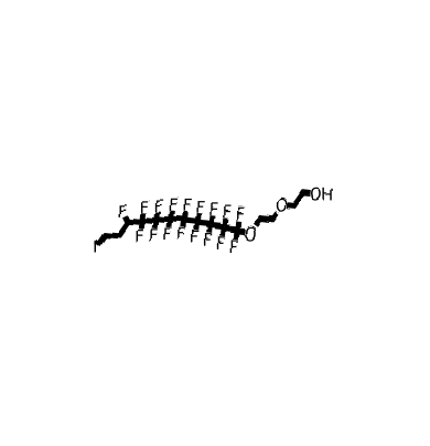 OCCOCCOC(F)(F)C(F)(F)C(F)(F)C(F)(F)C(F)(F)C(F)(F)C(F)(F)C(F)(F)C(F)CCI